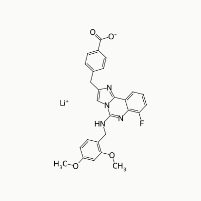 COc1ccc(CNc2nc3c(F)cccc3c3nc(Cc4ccc(C(=O)[O-])cc4)cn23)c(OC)c1.[Li+]